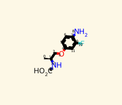 C[C@@H](COc1ccc(N)c(F)c1)NC(=O)O